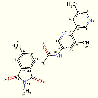 Cc1cncc(-c2ncc(NC(=O)Cc3cc(C)cc4c3C(=O)N(C)C4=O)cc2C)c1